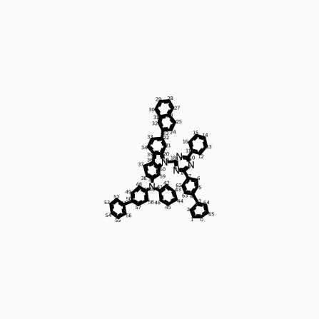 c1ccc(-c2ccc(-c3nc(-c4ccccc4)nc(-n4c5cc(-c6ccc7ccccc7c6)ccc5c5ccc(N(c6ccccc6)c6ccc(-c7ccccc7)cc6)cc54)n3)cc2)cc1